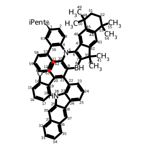 CCC[C@H](C)c1ccc(N2C3=C(Bc4c2cc2oc5ccccc5c2c4-c2cccc4c2[nH]c2cc5ccccc5cc24)C(C)(C)c2cc4c(cc23)C(C)(C)CCC4(C)C)c(-c2ccccc2)c1